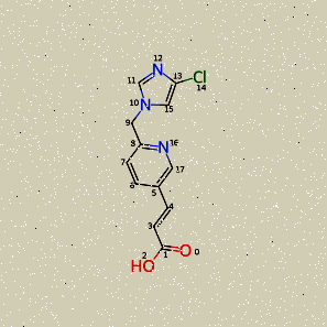 O=C(O)/C=C/c1ccc(Cn2cnc(Cl)c2)nc1